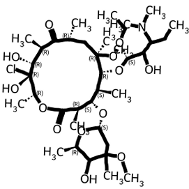 CCO[C@@H](O[C@@H]1[C@@H](C)[C@H](O[C@@H]2CC(C)(OC)C(O)[C@@H](C)O2)[C@@H](C)C(=O)O[C@H](C)[C@](O)(Cl)[C@H](O)[C@@H](C)C(=O)[C@H](C)C[C@@]1(C)OC)C(O)C(CC)N(C)C